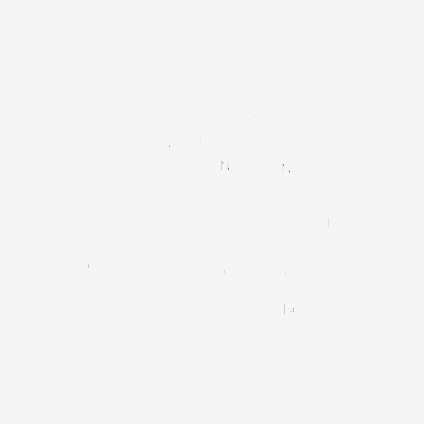 CC1=C(C(=O)OC(C)(C)C)C(c2ccc(Cl)cc2)N2C(=O)CSC2=N1